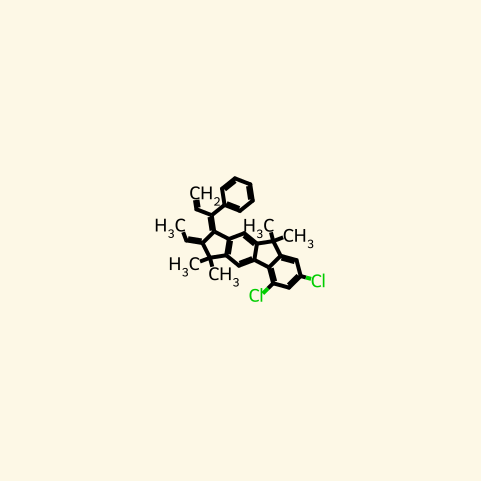 C=C/C(=C1\C(=C/C)C(C)(C)c2cc3c(cc21)C(C)(C)c1cc(Cl)cc(Cl)c1-3)c1ccccc1